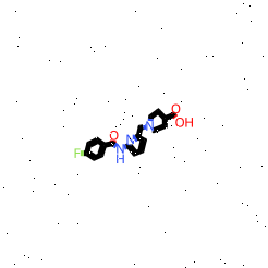 O=C(Nc1cccc(CN2CCC(C(=O)O)CC2)n1)c1ccc(F)cc1